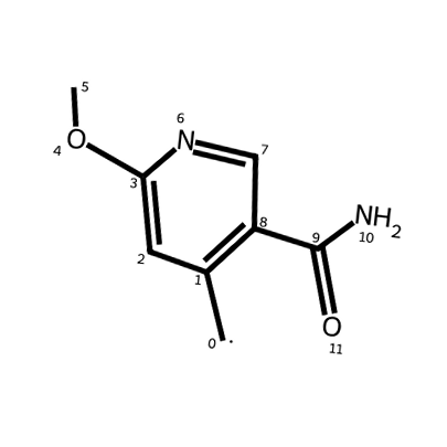 [CH2]c1cc(OC)ncc1C(N)=O